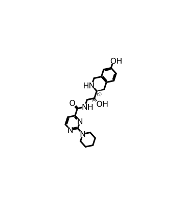 O=C(NC[C@@H](O)[C@@H]1Cc2ccc(O)cc2CN1)c1ccnc(N2CCCCC2)n1